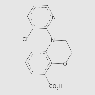 O=C(O)c1cccc2c1OCCN2c1ncccc1Cl